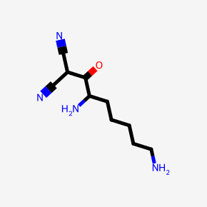 N#CC(C#N)C(=O)C(N)CCCCCN